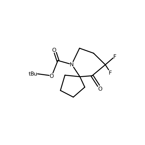 CC(C)(C)OC(=O)N1CCC(F)(F)C(=O)C12CCCC2